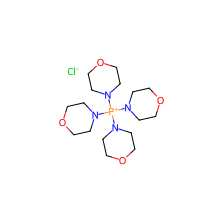 C1CN([P+](N2CCOCC2)(N2CCOCC2)N2CCOCC2)CCO1.[Cl-]